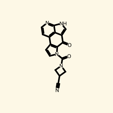 N#CC1CN(C(=O)n2ccc3c2C(=O)c2c[nH]c4nccc-3c24)C1